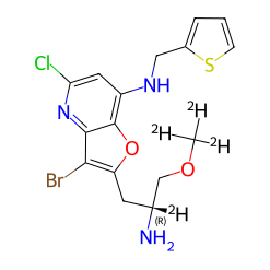 [2H]C([2H])([2H])OC[C@]([2H])(N)Cc1oc2c(NCc3cccs3)cc(Cl)nc2c1Br